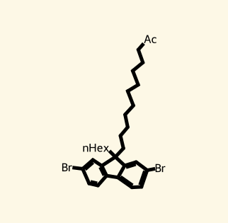 CCCCCCC1(CCCCCCCCCCC(C)=O)c2cc(Br)ccc2-c2ccc(Br)cc21